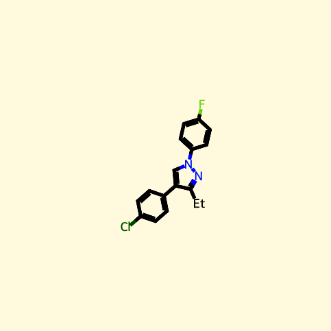 CCc1nn(-c2ccc(F)cc2)cc1-c1ccc(Cl)cc1